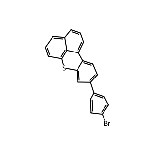 Brc1ccc(-c2ccc3c(c2)Sc2cccc4cccc-3c24)cc1